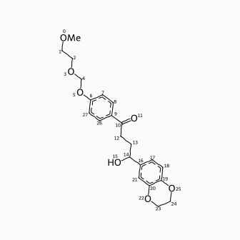 COCCOCOc1ccc(C(=O)CCC(O)c2ccc3c(c2)OCCO3)cc1